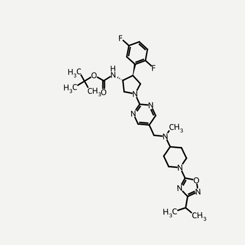 CC(C)c1noc(N2CCC(N(C)Cc3cnc(N4C[C@H](NC(=O)OC(C)(C)C)[C@@H](c5cc(F)ccc5F)C4)nc3)CC2)n1